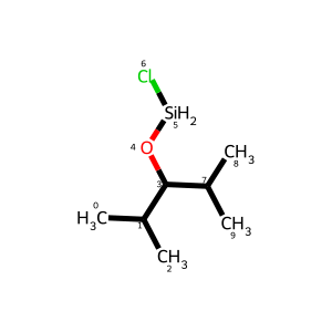 CC(C)C(O[SiH2]Cl)C(C)C